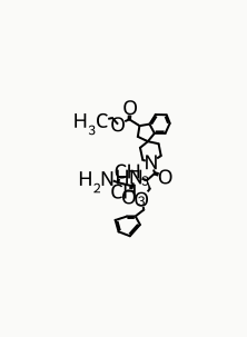 CCOC(=O)C1CC2(CCN(C(=O)[C@@H](COCc3ccccc3)NC(=O)C(C)(C)N)CC2)c2ccccc21